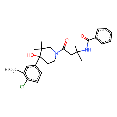 CCOC(=O)c1cc(C2(O)CCN(C(=O)CC(C)(C)NC(=O)c3ccccc3)CC2(C)C)ccc1Cl